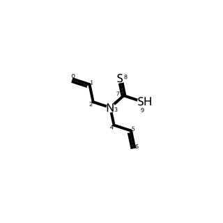 C=CCN(CC=C)C(=S)S